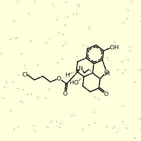 O=C1CC[C@@]2(O)[C@H]3Cc4ccc(O)c5c4[C@@]2(CCN3C(=O)OCCCCl)[C@H]1O5